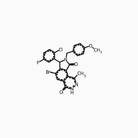 COc1ccc(CN2C(=O)c3c(c(Br)cc4c(=O)[nH]nc(C)c34)C2c2cc(F)ccc2Cl)cc1